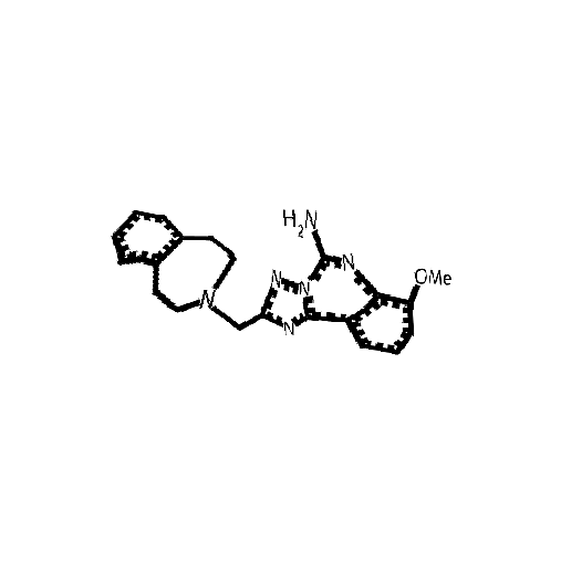 COc1cccc2c1nc(N)n1nc(CN3CCc4ccccc4CC3)nc21